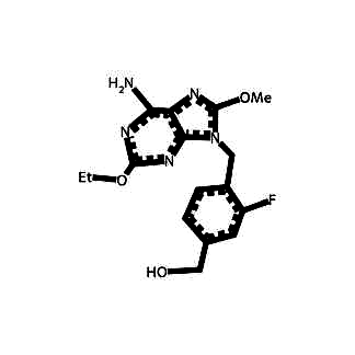 CCOc1nc(N)c2nc(OC)n(Cc3ccc(CO)cc3F)c2n1